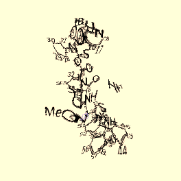 CO/N=C(\C(=O)NC1C(=O)N2C(C(=O)OC(Sc3ccncc3)N(C(=O)OC(C)(C)C)C3CCCC3)=CCS[C@@H]12)c1csc(NC(c2ccccc2)(c2ccccc2)c2ccccc2)n1.I